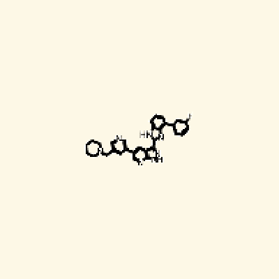 Fc1cccc(-c2cccc3[nH]c(-c4n[nH]c5ncc(-c6cncc(CN7CCCCC7)c6)cc45)nc23)c1